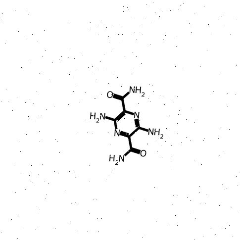 NC(=O)c1nc(N)c(C(N)=O)nc1N